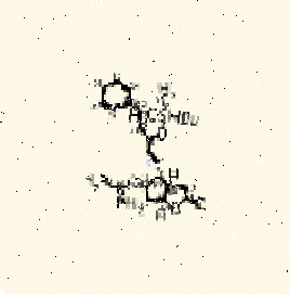 CC(C)(C)[Si](C)(C)OC(/C=C/[C@@H]1[C@H]2CC(=O)O[C@H]2C[C@H]1OB(P)P)CCc1ccccc1